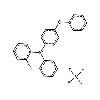 F[B-](F)(F)F.c1ccc(Oc2ccc([S+]3c4ccccc4Sc4ccccc43)cc2)cc1